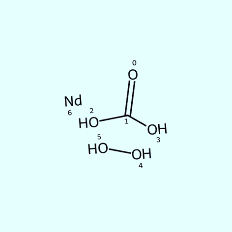 O=C(O)O.OO.[Nd]